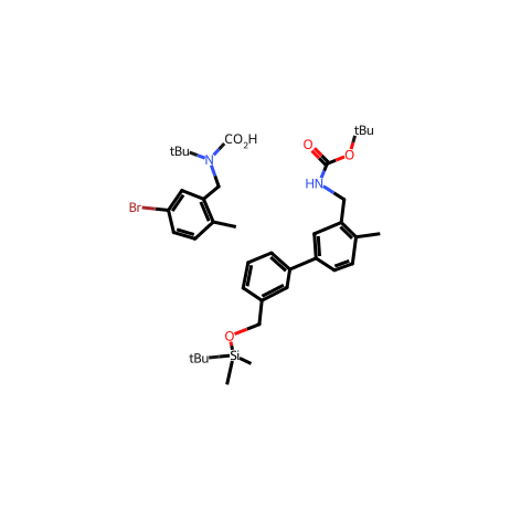 Cc1ccc(-c2cccc(CO[Si](C)(C)C(C)(C)C)c2)cc1CNC(=O)OC(C)(C)C.Cc1ccc(Br)cc1CN(C(=O)O)C(C)(C)C